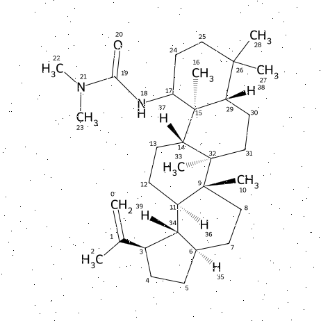 C=C(C)[C@@H]1CC[C@@H]2CC[C@]3(C)[C@H](CC[C@@H]4[C@@]5(C)C(NC(=O)N(C)C)CCC(C)(C)[C@@H]5CC[C@]43C)[C@H]21